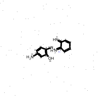 N=C1C=CC=C/C1=N/Nc1ccc(N)cc1O